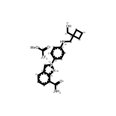 COC(=O)C(F)(F)F.NC(=O)c1cccc2cn(-c3ccc(NCC4(CO)CCC4)cc3)nc12